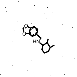 CC1CCCC(NCc2ccc3c(c2)OCO3)C1C